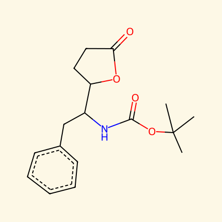 CC(C)(C)OC(=O)NC(Cc1ccccc1)C1CCC(=O)O1